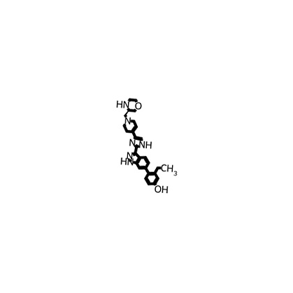 CCc1cc(O)ccc1-c1ccc2c(-c3nc(C4=CCN(C[C@@H]5COCCN5)CC4)c[nH]3)n[nH]c2c1